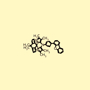 Cc1nn2c(c1C)N(c1ccc(-c3cccc4c3oc3ccccc34)cc1)c1c(C)c(C)nn1C21c2ccccc2C(C)(C)c2ccccc21